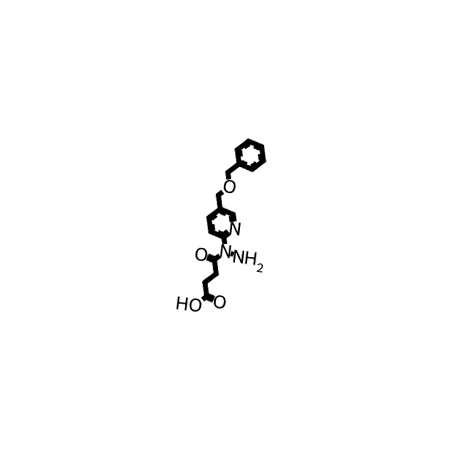 NN(C(=O)CCC(=O)O)c1ccc(COCc2ccccc2)cn1